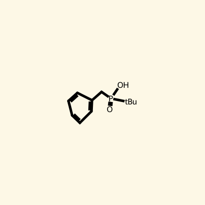 CC(C)(C)P(=O)(O)Cc1ccccc1